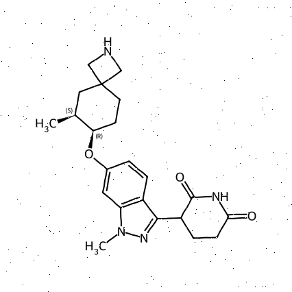 C[C@H]1CC2(CC[C@H]1Oc1ccc3c(C4CCC(=O)NC4=O)nn(C)c3c1)CNC2